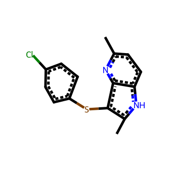 Cc1ccc2[nH]c(C)c(Sc3ccc(Cl)cc3)c2n1